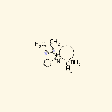 BC1(C)CCCCCCCc2c(nc(-c3ccccc3)n2C(/C=C\C=C)=C/C=C)C1